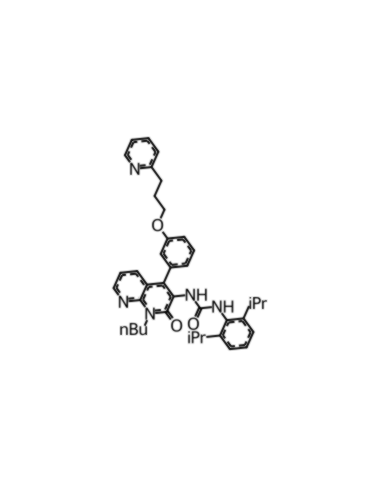 CCCCn1c(=O)c(NC(=O)Nc2c(C(C)C)cccc2C(C)C)c(-c2cccc(OCCCc3ccccn3)c2)c2cccnc21